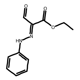 CCOC(=O)/C(C=O)=N/Nc1ccccc1